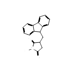 O=C1CC(CC2c3ccccc3-c3ccccc32)C(=O)N1O